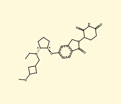 CCN(CC1CC(OC)C1)[C@@H]1CCC[C@H]1Oc1ccc2c(c1)CN(C1CCC(=O)NC1=O)C2=O